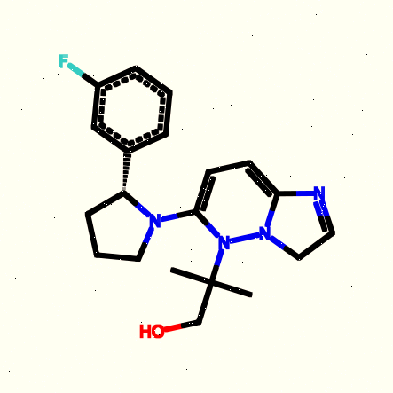 CC(C)(CO)N1C(N2CCC[C@@H]2c2cccc(F)c2)=CC=C2N=CCN21